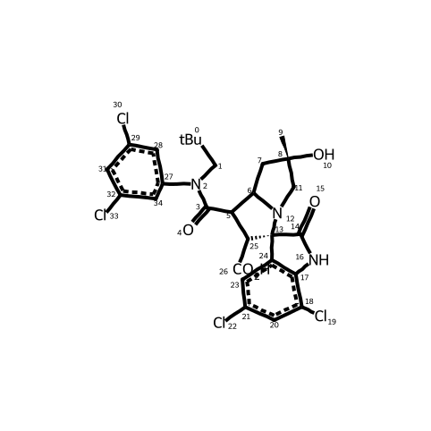 CC(C)(C)CN(C(=O)C1C2C[C@](C)(O)CN2[C@]2(C(=O)Nc3c(Cl)cc(Cl)cc32)C1C(=O)O)c1cc(Cl)cc(Cl)c1